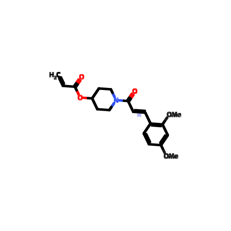 C=CC(=O)OC1CCN(C(=O)/C=C/c2ccc(OC)cc2OC)CC1